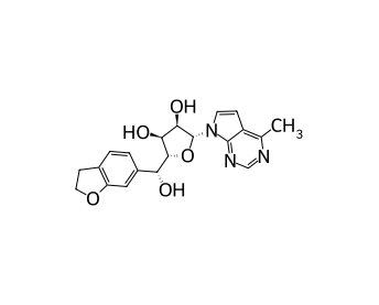 Cc1ncnc2c1ccn2[C@@H]1O[C@H]([C@H](O)c2ccc3c(c2)OCC3)[C@@H](O)[C@H]1O